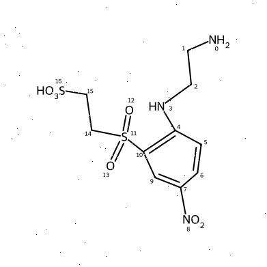 NCCNc1ccc([N+](=O)[O-])cc1S(=O)(=O)CCS(=O)(=O)O